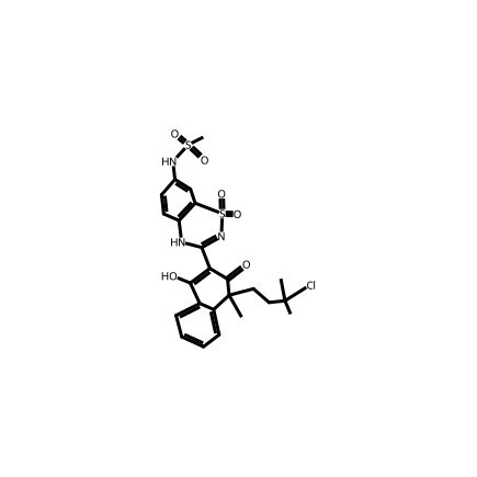 CC(C)(Cl)CCC1(C)C(=O)C(C2=NS(=O)(=O)c3cc(NS(C)(=O)=O)ccc3N2)=C(O)c2ccccc21